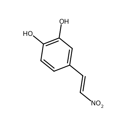 O=[N+]([O-])C=Cc1ccc(O)c(O)c1